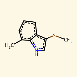 Cc1cccc2c(SC(F)(F)F)c[nH]c12